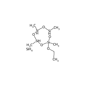 CCO[Si]1(C)O[SiH](C)O[SiH](C)O[SiH](C)O1.[SiH4]